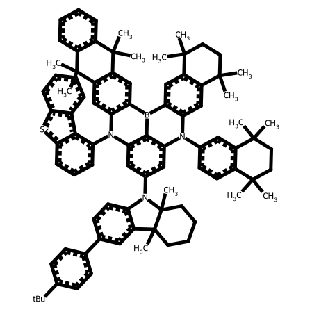 CC(C)(C)c1ccc(-c2ccc3c(c2)C2(C)CCCCC2(C)N3c2cc3c4c(c2)N(c2cccc5sc6ccccc6c25)c2cc5c(cc2B4c2cc4c(cc2N3c2ccc3c(c2)C(C)(C)CCC3(C)C)C(C)(C)CCC4(C)C)C(C)(C)c2ccccc2C5(C)C)cc1